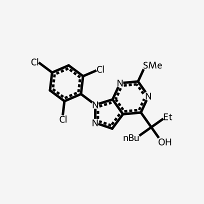 CCCCC(O)(CC)c1nc(SC)nc2c1cnn2-c1c(Cl)cc(Cl)cc1Cl